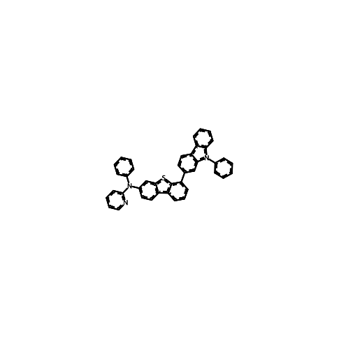 c1ccc(N(c2ccc3c(c2)sc2c(-c4ccc5c6ccccc6n(-c6ccccc6)c5c4)cccc23)c2ccccn2)cc1